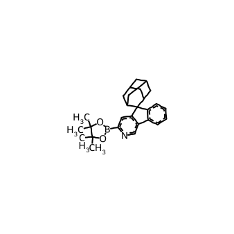 CC1(C)OB(c2cc3c(cn2)-c2ccccc2C32C3CC4CC(C3)CC2C4)OC1(C)C